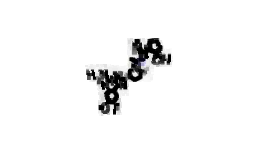 C=NN(/C=C(\C)N1C[C@@H](c2nc3c4cc(F)c(OC)cc4nc(N)n3n2)CC[C@H]1C)[C@H]1CCC[C@@H]1O